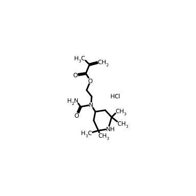 C=C(C)C(=O)OCCN(C(N)=O)C1CC(C)(C)NC(C)(C)C1.Cl